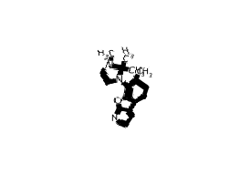 Cc1ccc2c(oc3ncccc32)c1N1C=CN(C)C1(C)C